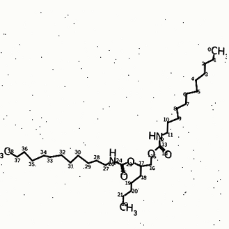 CCCCCCCCCCCCNC(=O)OCC(CCCCC)OC(=O)NCCCCCCCCCCCC